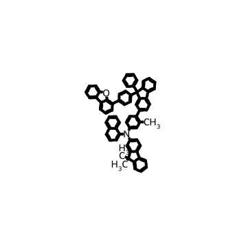 Cc1cc(N(c2ccc3c(c2)C(C)(C)c2ccccc2-3)c2cccc3ccccc23)ccc1-c1ccc2c(c1)C(c1ccccc1)(c1ccc(-c3cccc4c3oc3ccccc34)cc1)c1ccccc1-2